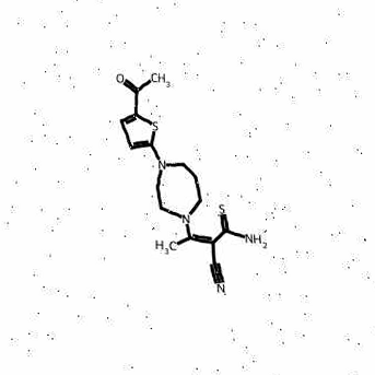 CC(=O)c1ccc(N2CCCN(C(C)=C(C#N)C(N)=S)CC2)s1